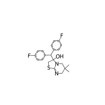 CC1(C)CN=C2SCC(O)(C(c3ccc(F)cc3)c3ccc(F)cc3)N2C1